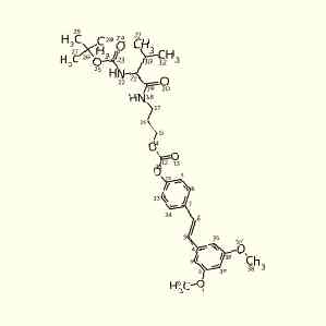 COc1cc(/C=C/c2ccc(OC(=O)OCCCNC(=O)C(NC(=O)OC(C)(C)C)C(C)C)cc2)cc(OC)c1